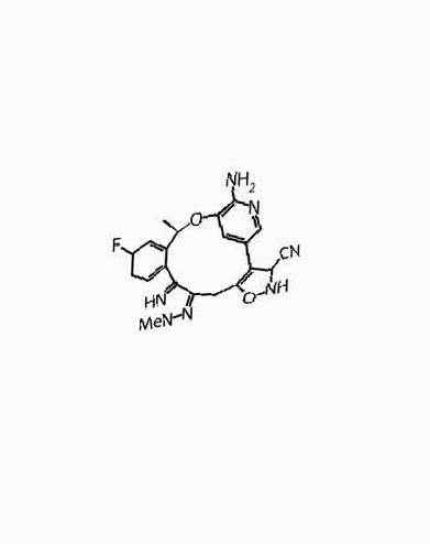 CN/N=C1/CC2=C(c3cnc(N)c(c3)O[C@H](C)C3=CC(F)CC=C3C1=N)C(C#N)NO2